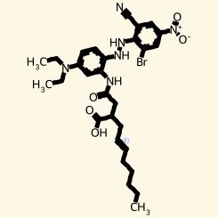 CCCCC/C=C/CC(CC(=O)Nc1cc(N(CC)CC)ccc1NNc1c(Br)cc([N+](=O)[O-])cc1C#N)C(=O)O